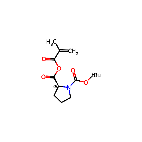 C=C(C)C(=O)OC(=O)[C@@H]1CCCN1C(=O)OC(C)(C)C